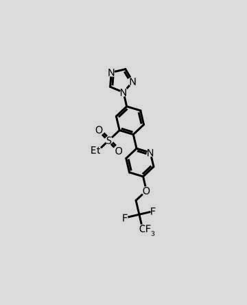 CCS(=O)(=O)c1cc(-n2cncn2)ccc1-c1ccc(OCC(F)(F)C(F)(F)F)cn1